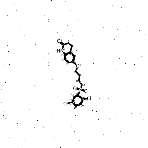 O=C1CCc2cc(OCCCCS(=O)(=O)c3cc(Cl)ccc3Cl)ccc2N1